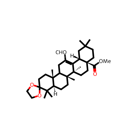 COC(=O)[C@]12CCC(C)(C)C[C@H]1C1=C(C=O)CC3[C@@]4(C)CCC5(OCCO5)C(C)(C)[C@@H]4CC[C@@]3(C)[C@]1(C)CC2